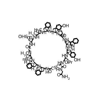 CCCC[C@H]1C(=O)N(C)CC(=O)N[C@@H](COC=O)C(=O)N[C@@H](C)C(=O)N(C)[C@@H](Cc2ccccc2)C(=O)N[C@@H](Cc2ccc(O)cc2)C(=O)N2CCC[C@@H]2C(=O)N[C@@H](Cc2c[nH]c3ccccc23)C(=O)N[C@@H](Cc2ccc(O)cc2)C(=O)N[C@@H](CC(C)C)C(=O)N[C@H](C(=O)NCC(N)=O)CSCC(=O)N[C@@H](Cc2ccccc2)C(=O)N(C)[C@@H](Cc2ccccc2)C(=O)N1C